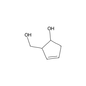 OCC1C=CCC1O